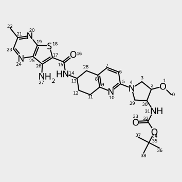 COC1CN(c2ccc3c(n2)CCC(NC(=O)c2sc4nc(C)cnc4c2N)C3)CC1NC(=O)OC(C)(C)C